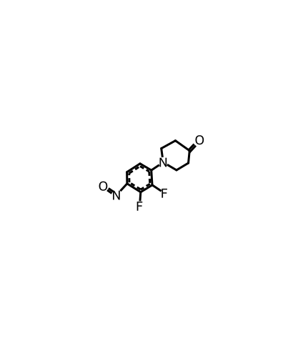 O=Nc1ccc(N2CCC(=O)CC2)c(F)c1F